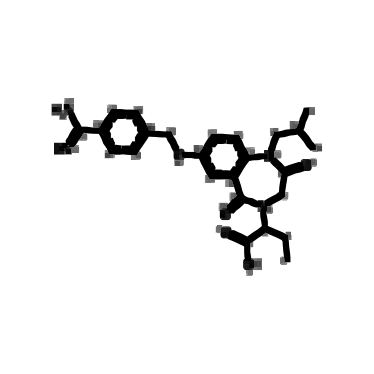 CCC(C(=O)O)N1CC(=O)N(CC(C)C)c2ccc(OCc3ccc(C(=N)N)cc3)cc2C1=O